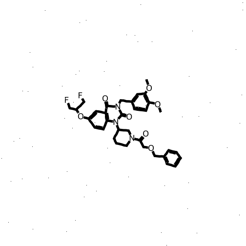 COc1ccc(Cn2c(=O)c3cc(OC(CF)CF)ccc3n(C3CCCN(C(=O)COCc4ccccc4)C3)c2=O)cc1OC